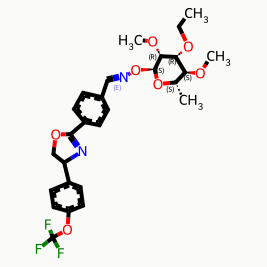 CCO[C@@H]1[C@@H](OC)[C@H](C)O[C@@H](O/N=C/c2ccc(C3=NC(c4ccc(OC(F)(F)F)cc4)CO3)cc2)[C@@H]1OC